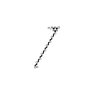 Nc1nc(Cl)nc(OCCOCCOCCOCCOCCOCCOCCOCCO)n1